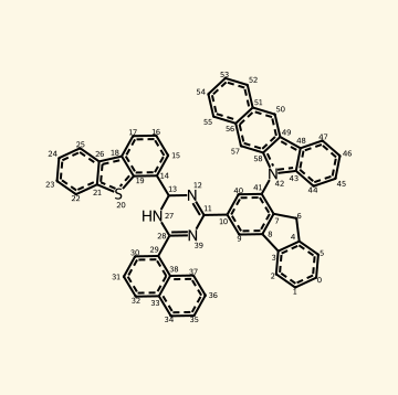 c1ccc2c(c1)Cc1c-2cc(C2=NC(c3cccc4c3sc3ccccc34)NC(c3cccc4ccccc34)=N2)cc1-n1c2ccccc2c2cc3ccccc3cc21